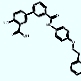 O=C(Nc1ccc(OCCc2ccccc2)cc1)c1cccc(-c2ccc(O)c(C(=O)O)c2)c1